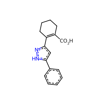 O=C(O)C1=C(c2cc(-c3ccccc3)[nH]n2)CCCC1